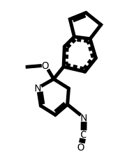 COC1(c2ccc3c(c2)C=CC3)CC(N=C=O)=CC=N1